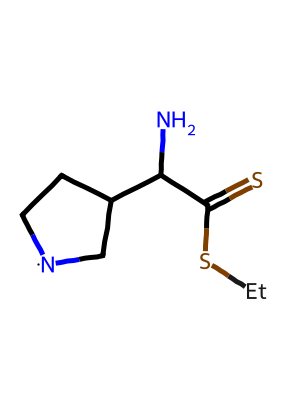 CCSC(=S)C(N)C1CC[N]C1